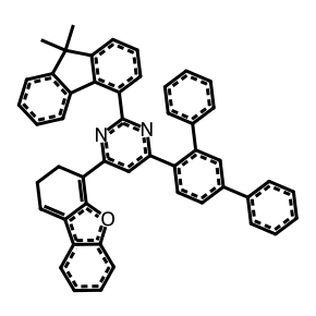 CC1(C)c2ccccc2-c2c(-c3nc(C4=c5oc6ccccc6c5=CCC4)cc(-c4ccc(-c5ccccc5)cc4-c4ccccc4)n3)cccc21